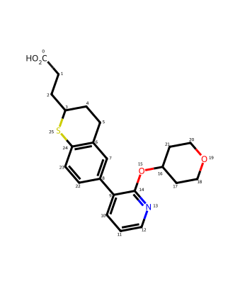 O=C(O)CCC1CCc2cc(-c3cccnc3OC3CCOCC3)ccc2S1